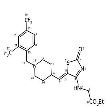 CCOC(=O)CNC1=NC(=O)S/C1=C\C1CCN(Cc2ccc(C(F)(F)F)cc2C(F)(F)F)CC1